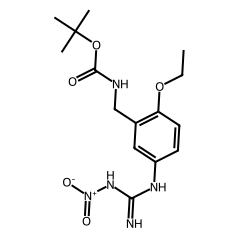 CCOc1ccc(NC(=N)N[N+](=O)[O-])cc1CNC(=O)OC(C)(C)C